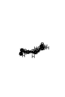 O=C(CCN1CCC(OC(=O)Nc2ccccc2-c2ccccc2)CC1)Nc1ccc(CNCC(O)c2ccc(O)c3[nH]c(=O)ccc23)c(Cl)c1